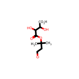 CC(C)(CC[O])OC(=O)C(O)C(O)C(=O)O